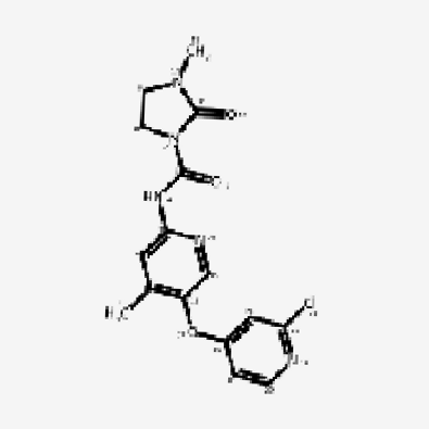 Cc1cc(NC(=O)N2CCN(C)C2=O)ncc1Oc1ccnc(Cl)c1